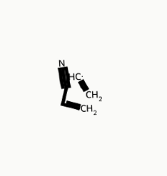 C=CC#N.[CH]=C